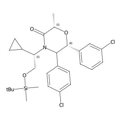 C[C@@H]1O[C@H](c2cccc(Cl)c2)C(c2ccc(Cl)cc2)N([C@H](CO[Si](C)(C)C(C)(C)C)C2CC2)C1=O